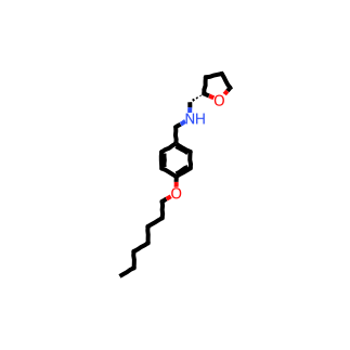 CCCCCCCOc1ccc(CNC[C@@H]2CCCO2)cc1